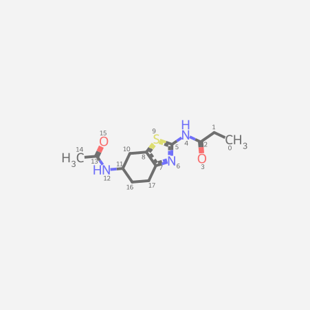 CCC(=O)Nc1nc2c(s1)CC(NC(C)=O)CC2